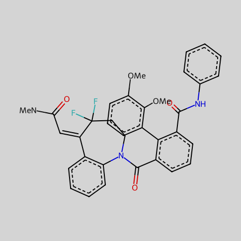 CNC(=O)C=C1c2ccccc2N(C(=O)c2cccc(C(=O)Nc3ccccc3)c2-c2cccc(OC)c2OC)CCC1(F)F